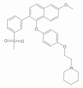 COc1ccc2c(Oc3ccc(OCCN4CCCCC4)cc3)c(-c3cccc(S(C)(=O)=O)c3)ccc2c1